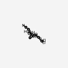 N#Cc1ccc(-c2ccc(CC(NC(=O)C3Cc4cc5c(cc4CN3Cc3ccccc3C#N)OC(c3ccc(OCc4ccc(Cl)c(Cl)c4)cc3)CO5)C(=O)O)cc2)cc1